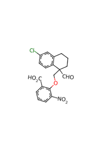 O=CC1(COc2c(C(=O)O)cccc2[N+](=O)[O-])CCCc2cc(Cl)ccc21